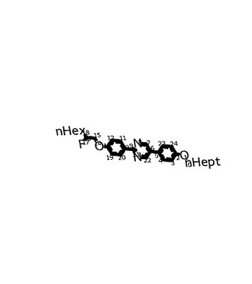 CCCCCCCOc1ccc(-c2cnc(-c3ccc(OCC(F)CCCCCC)cc3)nc2)cc1